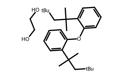 CC(C)(C)CC(C)(C)c1ccccc1Oc1ccccc1C(C)(C)CC(C)(C)C.OCCO